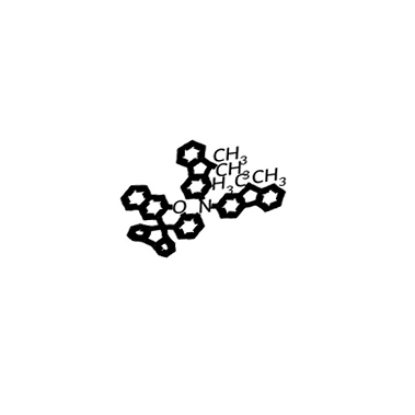 CC1(C)c2ccccc2-c2ccc(N(c3ccc4c(c3)C(C)(C)c3ccccc3-4)c3cccc4c3Oc3cc5ccccc5cc3C43c4ccccc4-c4ccccc43)cc21